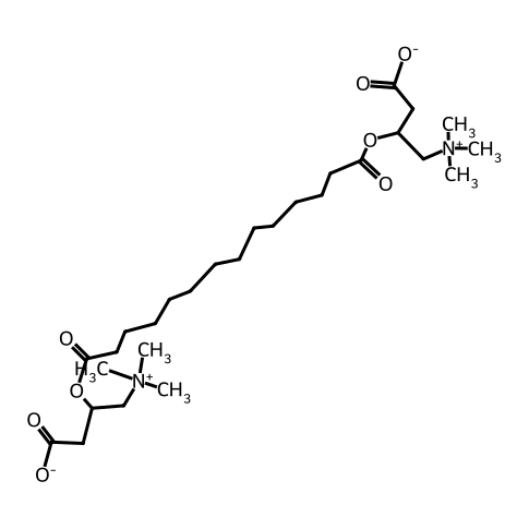 C[N+](C)(C)CC(CC(=O)[O-])OC(=O)CCCCCCCCCCCCC(=O)OC(CC(=O)[O-])C[N+](C)(C)C